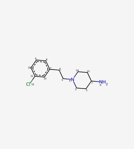 NC1CCN(C[CH]c2cccc(Cl)c2)CC1